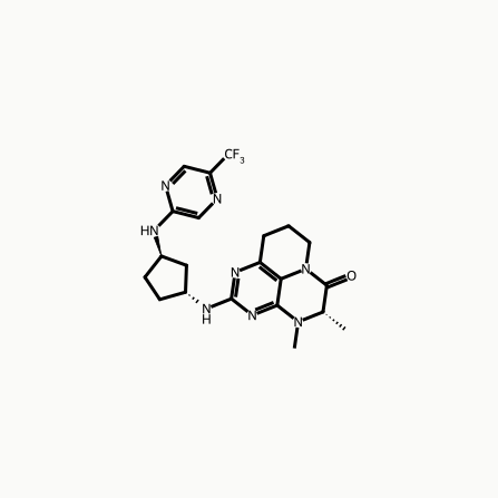 C[C@H]1C(=O)N2CCCc3nc(N[C@@H]4CC[C@@H](Nc5cnc(C(F)(F)F)cn5)C4)nc(c32)N1C